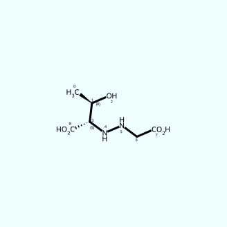 C[C@@H](O)[C@H](NNCC(=O)O)C(=O)O